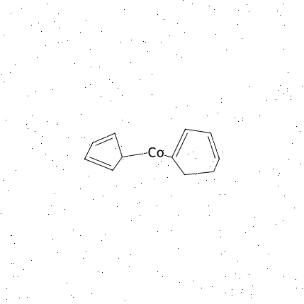 C1=CCC[C]([Co][CH]2C=CC=C2)=C1